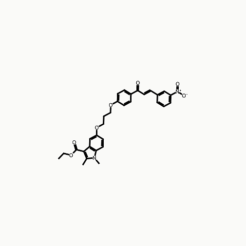 CCOC(=O)c1c(C)n(C)c2ccc(OCCCOc3ccc(C(=O)C=Cc4cccc([N+](=O)[O-])c4)cc3)cc12